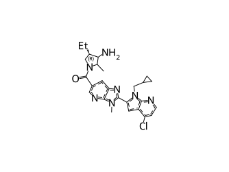 CC[C@@H]1CN(C(=O)c2cnc3c(c2)nc(-c2cc4c(Cl)ccnc4n2CC2CC2)n3C)C(C)C1N